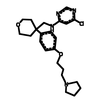 Clc1cc(NCC2(c3ccc(OCCCN4CCCC4)cc3)CCOCC2)ncn1